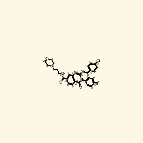 O=C(NCCCN1CCOCC1)c1ccc2c(=O)n(-c3ccc(F)cc3)c(SCc3ccc(Cl)cc3)nc2c1